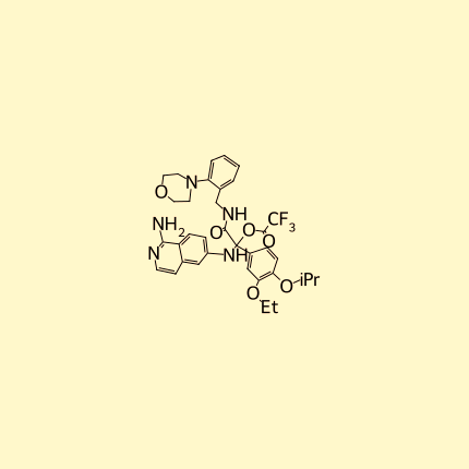 CCOc1cc(C(Nc2ccc3c(N)nccc3c2)(OC(=O)C(F)(F)F)C(=O)NCc2ccccc2N2CCOCC2)ccc1OC(C)C